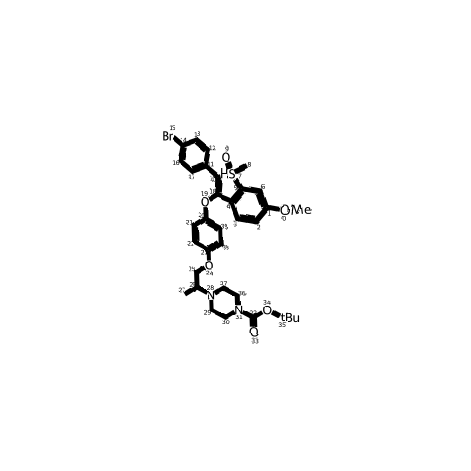 COc1ccc2c(c1)[SH](C)(=O)C(c1ccc(Br)cc1)=C2Oc1ccc(OCC(C)N2CCN(C(=O)OC(C)(C)C)CC2)cc1